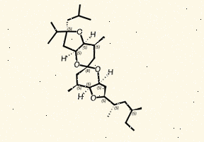 CC[C@H](C)C[C@H](C)[C@@H]1C[C@@H]2O[C@@]3(C[C@H](C)[C@@H]2O1)C[C@H](C)[C@@H]1O[C@](CC(C)C)(C(C)C)C[C@@H]1O3